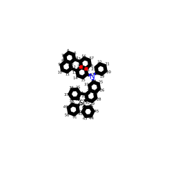 c1ccc(-c2cccc3cccc(-c4ccc(N(c5ccccc5)c5ccc6ccc7c(c6c5)-c5ccccc5[Si]7(c5ccccc5)c5ccccc5)cc4)c23)cc1